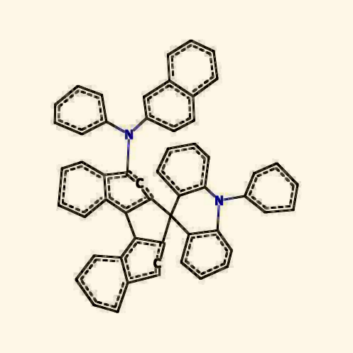 c1ccc(N2c3ccccc3C3(c4ccccc42)c2ccc4ccccc4c2-c2c3cc(N(c3ccccc3)c3ccc4ccccc4c3)c3ccccc23)cc1